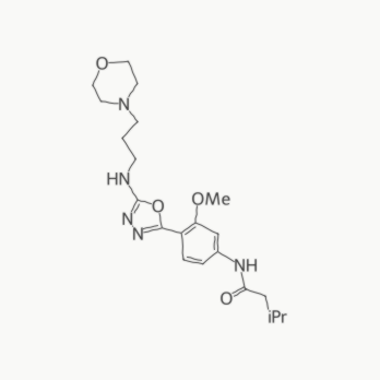 COc1cc(NC(=O)CC(C)C)ccc1-c1nnc(NCCCN2CCOCC2)o1